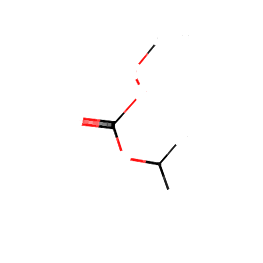 CCC(C)C(CC)OC(=O)OOC(=O)O